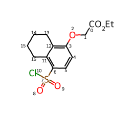 CCOC(=O)COc1ccc(S(=O)(=O)Cl)c2c1CCCC2